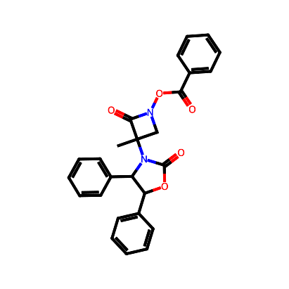 CC1(N2C(=O)OC(c3ccccc3)C2c2ccccc2)CN(OC(=O)c2ccccc2)C1=O